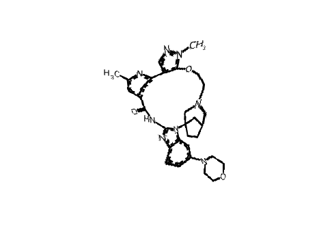 Cc1cc2cc(n1)-c1cnn(C)c1OCCN1CC3CCC(C3)(C1)n1c(nc3ccc(N4CCOCC4)cc31)NC2=O